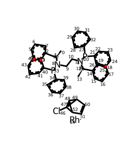 C[C@H](c1ccccc1)N(CCN([C@H](C)c1ccccc1)P(c1ccccc1)c1ccccc1)P(c1ccccc1)c1ccccc1.ClC1=CC2C=CC1C2.[Rh]